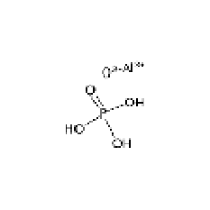 O=P(O)(O)O.[Al+3].[O-2]